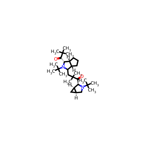 CC(C)(C)C(=O)[C@@H]1[C@@H]2CCC[C@@H]2C(CC(C)(C)C(=O)[C@@H]2[C@@H]3C[C@@H]3CN2C(C)(C)C)N1C(C)(C)C